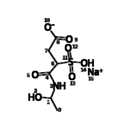 CC(O)NC(=O)C(CC(=O)[O-])S(=O)(=O)O.[Na+]